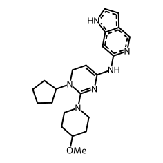 COC1CCN(C2=NC(Nc3cc4[nH]ccc4cn3)=CCN2C2CCCC2)CC1